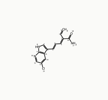 C=C/C(=C\C=C\c1c[nH]c2ncc(Cl)cc12)C(N)=O